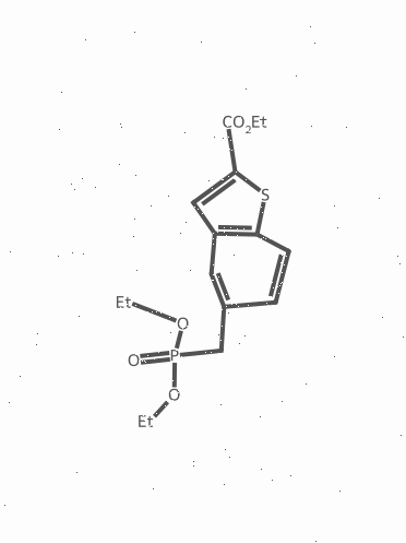 CCOC(=O)c1cc2cc(CP(=O)(OCC)OCC)ccc2s1